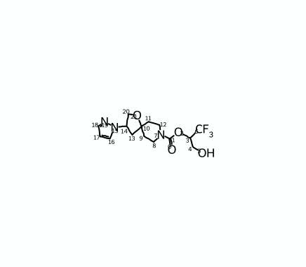 O=C(OC(CO)C(F)(F)F)N1CCC2(CC1)CC(n1cccn1)CO2